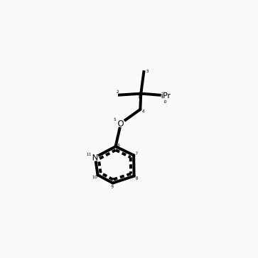 CC(C)C(C)(C)COc1ccccn1